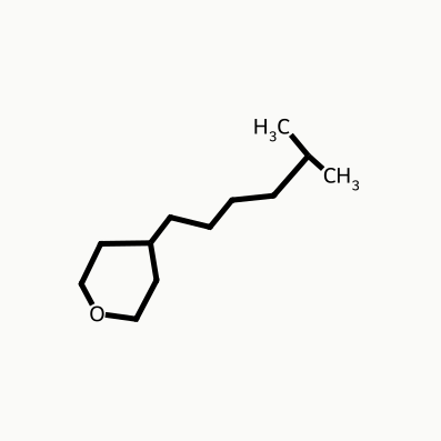 CC(C)CCCCC1CCOCC1